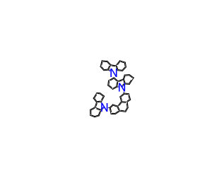 c1ccc2c(c1)c1ccccc1n2-c1ccc2ccc3ccc(-n4c5ccccc5c5c(-n6c7ccccc7c7ccccc76)cccc54)cc3c2c1